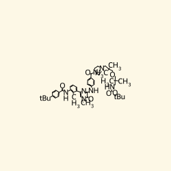 Cc1c(NC(=O)c2ccc(C(C)(C)C)cc2)cccc1-c1cn(C)c(=O)c(Nc2ccc(C(=O)N3CCN(CC(C)(C)COCC(C)(C)CNC(=O)OC(C)(C)C)CC3)cc2)n1